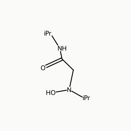 CC(C)NC(=O)CN(O)C(C)C